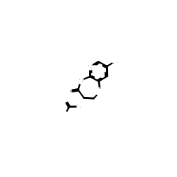 C[C@H]1Oc2cc(Br)cnc2NC(=O)[C@H]1NC(=O)O